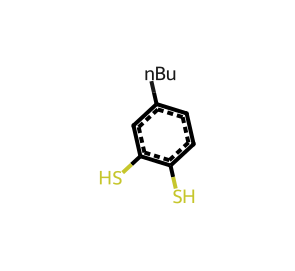 CCCCc1ccc(S)c(S)c1